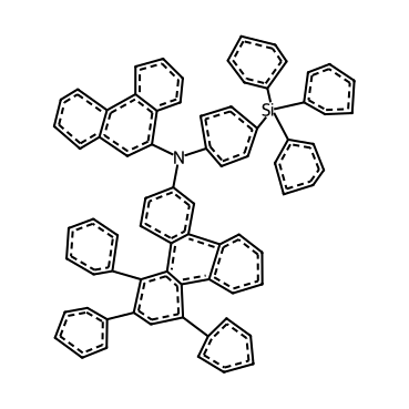 c1ccc(-c2cc(-c3ccccc3)c3c4ccccc4c4cc(N(c5ccc([Si](c6ccccc6)(c6ccccc6)c6ccccc6)cc5)c5cc6ccccc6c6ccccc56)ccc4c3c2-c2ccccc2)cc1